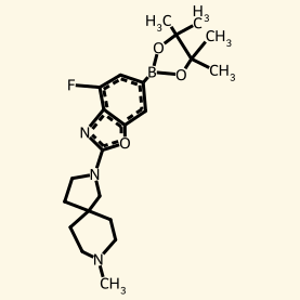 CN1CCC2(CC1)CCN(c1nc3c(F)cc(B4OC(C)(C)C(C)(C)O4)cc3o1)C2